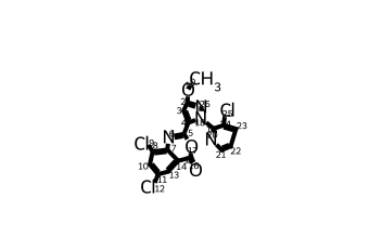 COc1cc(-c2nc3c(Cl)cc(Cl)cc3c(=O)o2)n(-c2ncccc2Cl)n1